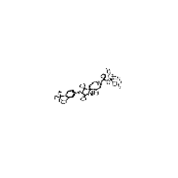 CC(C)(C)OC(=O)N1CCC2(CC1)NC(=O)N(c1ccc(C(F)(F)F)c(Cl)c1)C2=O